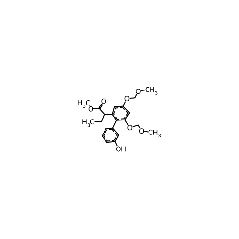 CCC(C(=O)OC)c1cc(OCOC)cc(OCOC)c1-c1cccc(O)c1